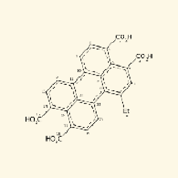 CCc1cc(C(=O)O)c2c(C(=O)O)ccc3c4ccc(C(=O)O)c5c(C(=O)O)ccc(c1c23)c54